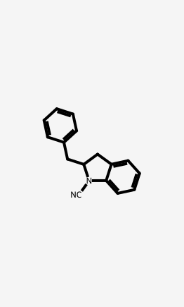 N#CN1c2ccccc2CC1Cc1ccccc1